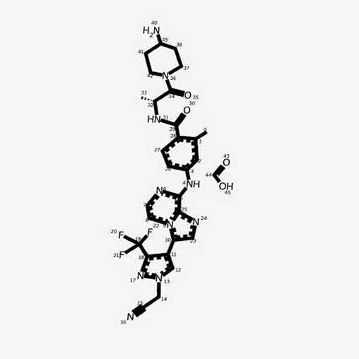 Cc1cc(Nc2nccn3c(-c4cn(CC#N)nc4C(F)(F)F)cnc23)ccc1C(=O)N[C@H](C)C(=O)N1CCC(N)CC1.O=CO